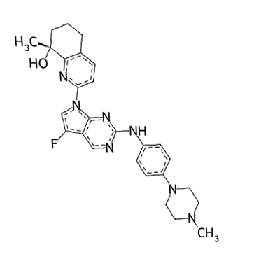 CN1CCN(c2ccc(Nc3ncc4c(F)cn(-c5ccc6c(n5)[C@](C)(O)CCC6)c4n3)cc2)CC1